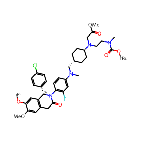 COC(=O)CN(CCN(C)C(=O)OC(C)(C)C)[C@H]1CC[C@H](CN(C)c2ccc(N3C(=O)Cc4cc(OC)c(OC(C)C)cc4[C@@H]3c3ccc(Cl)cc3)c(F)c2)CC1